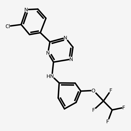 FC(F)C(F)(F)Oc1cccc(Nc2ncnc(-c3ccnc(Cl)c3)n2)c1